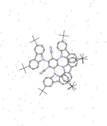 CC(C)(C)c1ccc2c(c1)c1cc(C(C)(C)C)ccc1n2-c1c(C#N)c(-n2c3ccc(C(C)(C)C)cc3c3cc(C(C)(C)C)ccc32)c(-n2c3ccc(C(C)(C)C)cc3c3cc(C(C)(C)C)ccc32)c(-n2c3ccc(C(C)(C)C)cc3c3cc(C(C)(C)C)ccc32)c1C#N